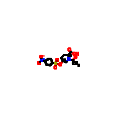 CC(=O)N1C[C@@H](OS(=O)(=O)c2ccc([N+](=O)[O-])cc2)CC[C@H]1C(=O)O